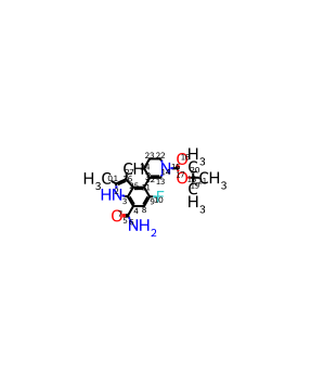 Cc1[nH]c2c(C(N)=O)cc(F)c(C3=CN(C(=O)OC(C)(C)C)CCC3)c2c1C